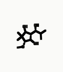 CO[C@H]1C(O)[C@H]([C@@H](O)C(C)C)C(O)C1(C)C